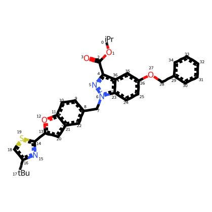 CC(C)OC(=O)c1nn(Cc2ccc3oc(-c4nc(C(C)(C)C)cs4)cc3c2)c2ccc(OCc3ccccc3)cc12